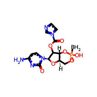 B[PH]1(O)OC[C@H]2O[C@@H](n3ccc(N)nc3=O)C(OC(=O)n3ccnc3)[C@@H]2O1